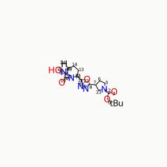 CC(C)(C)OC(=O)N1CCC(c2nnc([C@@H]3CC[C@H]4CN3C(=O)N4O)o2)C1